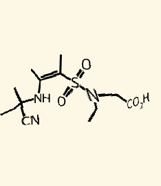 C/C(NC(C)(C)C#N)=C(\C)S(=O)(=O)N(C)CC(=O)O